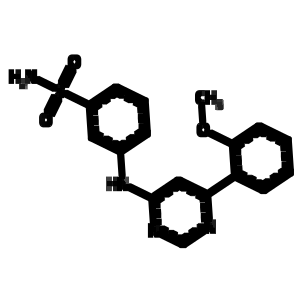 COc1ccccc1-c1cc(Nc2cccc(S(N)(=O)=O)c2)ncn1